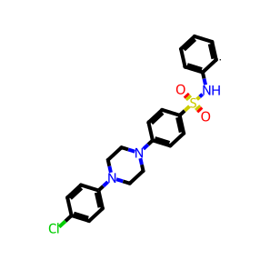 O=S(=O)(Nc1[c]cccc1)c1ccc(N2CCN(c3ccc(Cl)cc3)CC2)cc1